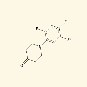 CCc1cc(N2CCC(=O)CC2)c(F)cc1F